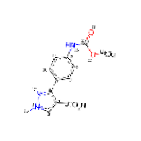 Cn1cc(C(=O)O)c(-c2ccc(NC(=O)OC(C)(C)C)cc2)n1